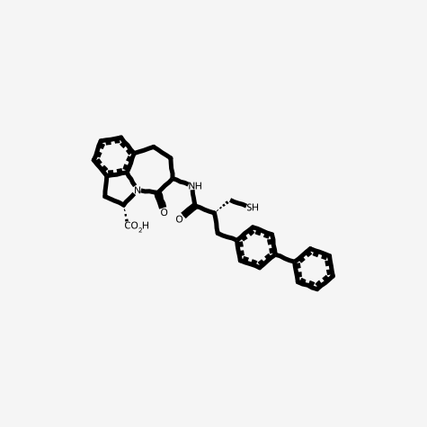 O=C(NC1CCc2cccc3c2N(C1=O)[C@H](C(=O)O)C3)[C@H](CS)Cc1ccc(-c2ccccc2)cc1